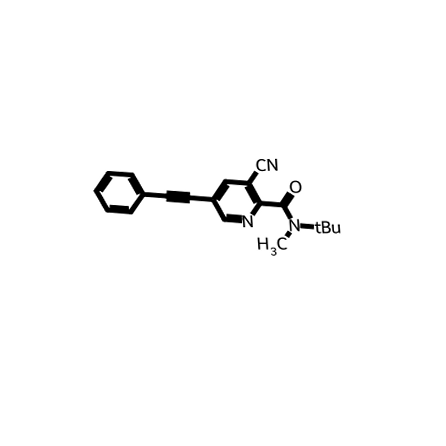 CN(C(=O)c1ncc(C#Cc2ccccc2)cc1C#N)C(C)(C)C